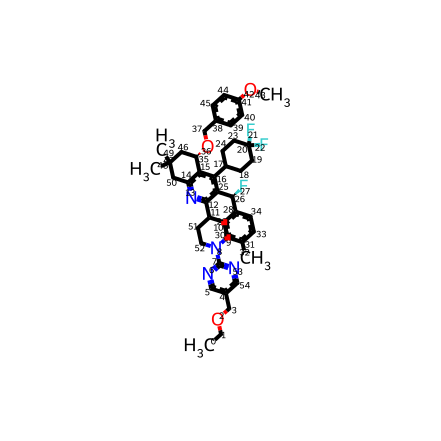 CCOCc1cnc(N2CCC(c3nc4c(c(C5CCC(F)(F)CC5)c3[C@@H](F)c3ccc(C)cc3)[C@@H](OCc3ccc(OC)cc3)CC(C)(C)C4)CC2)nc1